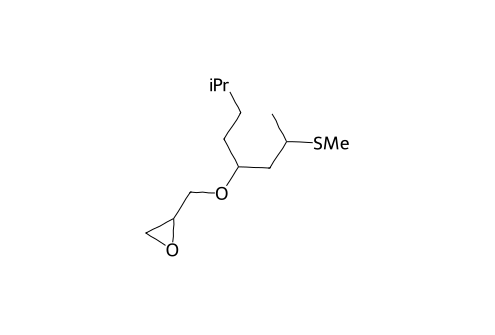 CSC(C)CC(CCC(C)C)OCC1CO1